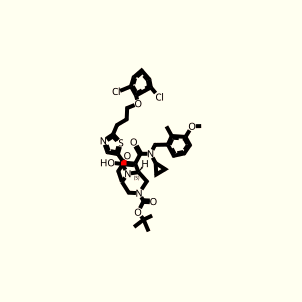 COc1cccc(CN(C(=O)C2=C(c3cnc(CCCOc4c(Cl)cccc4Cl)s3)CC3CN(C(=O)OC(C)(C)C)C[C@H]2N3C(=O)O)C2CC2)c1C